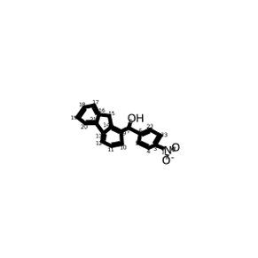 O=[N+]([O-])c1ccc(C(O)c2cccc3c2Cc2ccccc2-3)cc1